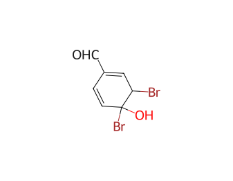 O=CC1=CC(Br)C(O)(Br)C=C1